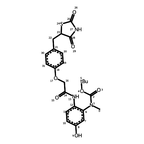 CN(C(=O)OC(C)(C)C)c1cc(O)ccc1NC(=O)COc1ccc(CC2SC(=O)NC2=O)cc1